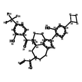 C=CC(=O)N1CCc2nn(-c3ccc(C4CCC4)cc3O)c3c2[C@H](C1)N(C(=O)c1cnc(C(F)(F)F)cc1O)CC3